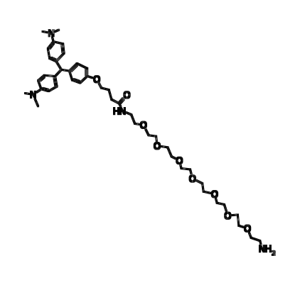 CN(C)c1ccc(C(c2ccc(OCCCC(=O)NCCOCCOCCOCCOCCOCCOCCOCCN)cc2)c2ccc(N(C)C)cc2)cc1